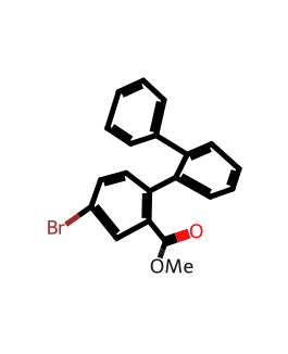 COC(=O)c1cc(Br)ccc1-c1ccccc1-c1ccccc1